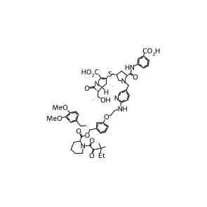 CCC(C)(C)C(=O)C(=O)N1CCCC[C@H]1C(=O)O[C@H](CCc1ccc(OC)c(OC)c1)c1cccc(OCCNc2ccc(CN3C[C@@H](SC4=C(C(=O)O)N5C(=O)[C@H]([C@@H](C)O)[C@H]5[C@H]4C)C[C@H]3C(=O)Nc3cccc(C(=O)O)c3)cn2)c1